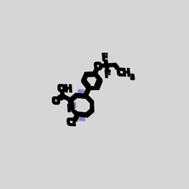 CCC(F)(F)Oc1ccc(/C2=C/C(C(=O)O)=N\C(Cl)=C/CC2)cc1